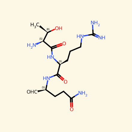 C[C@@H](O)[C@H](N)C(=O)N[C@@H](CCCNC(=N)N)C(=O)N[C@H](C=O)CCC(N)=O